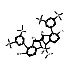 CCCc1ccc2c(c1-c1cc([Si](C)(C)C)cc([Si](C)(C)C)c1)C=C(CC(C)C)[CH]2[Zr]([Cl])([Cl])([CH]1C(CC(C)C)=Cc2c1ccc(CCC)c2-c1cc([Si](C)(C)C)cc([Si](C)(C)C)c1)[SiH](C)C